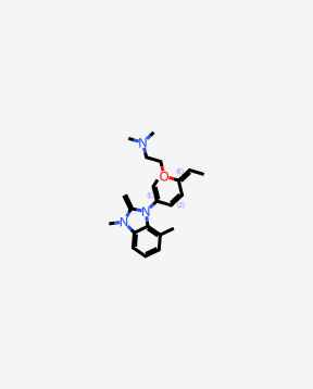 C=C1N(C)c2cccc(C)c2N1C(/C=C\C(=C/C)OCCN(C)C)=C/C